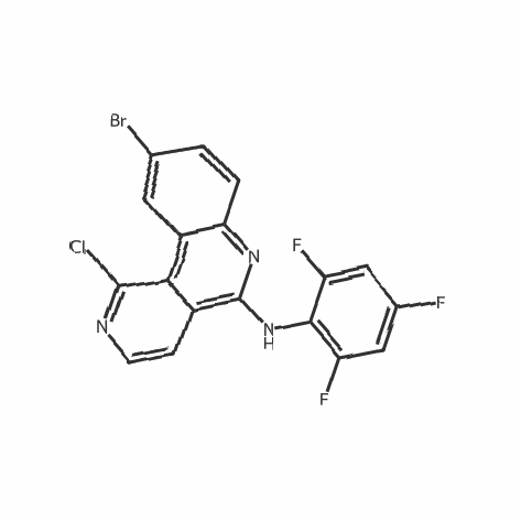 Fc1cc(F)c(Nc2nc3ccc(Br)cc3c3c(Cl)nccc23)c(F)c1